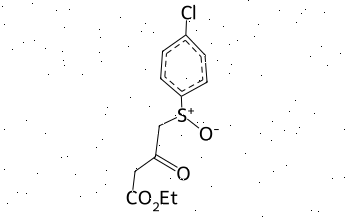 CCOC(=O)CC(=O)C[S+]([O-])c1ccc(Cl)cc1